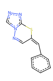 C1=Nn2cnnc2SC1=Cc1ccccc1